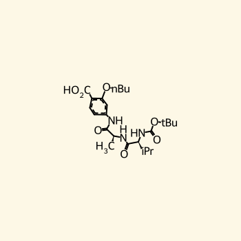 CCCCOc1cc(NC(=O)[C@H](C)NC(=O)[C@@H](NC(=O)OC(C)(C)C)C(C)C)ccc1C(=O)O